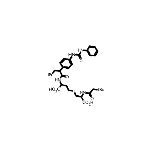 CC(C)CC(C(=O)NC(CCOCC(NC(=O)CC(C)(C)C)C(=O)O)C(=O)O)c1ccc(NC(=S)Nc2ccccc2)cc1